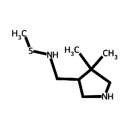 CSNCC1CNCC1(C)C